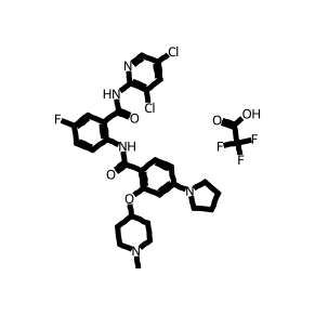 CN1CCC(Oc2cc(N3CCCC3)ccc2C(=O)Nc2ccc(F)cc2C(=O)Nc2ncc(Cl)cc2Cl)CC1.O=C(O)C(F)(F)F